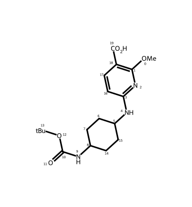 COc1nc(NC2CCC(NC(=O)OC(C)(C)C)CC2)ccc1C(=O)O